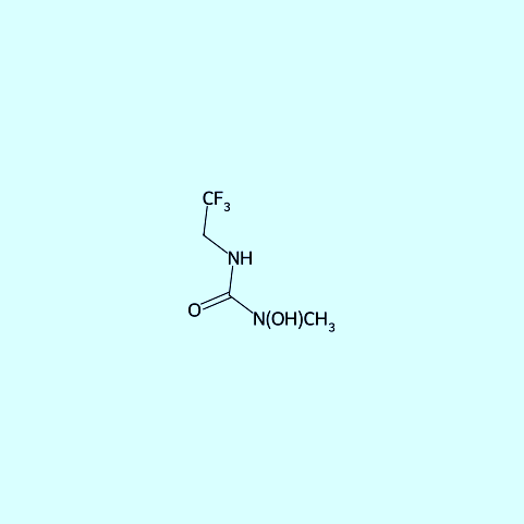 CN(O)C(=O)NCC(F)(F)F